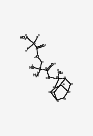 CC(O)(COC(=O)C(F)(F)S(=O)(=O)O)C(=O)OC1(C(C)(C)C)C2CC3CC(C2)CC1C3